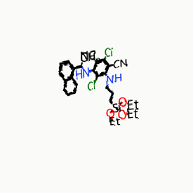 CCO[Si](CCCNc1c(Cl)c(N[C@H](C)c2cccc3ccccc23)c(C#N)c(Cl)c1C#N)(OCC)OCC